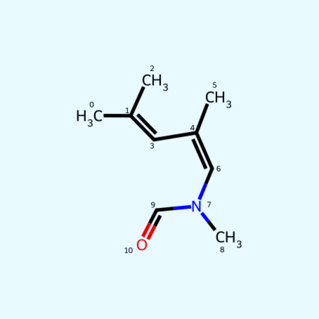 CC(C)=C/C(C)=C\N(C)C=O